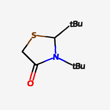 CC(C)(C)C1SCC(=O)N1C(C)(C)C